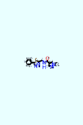 CCn1cc(C(=O)NCc2nnc(-c3ccccc3)s2)cn1